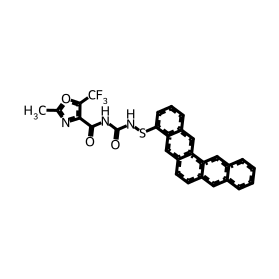 Cc1nc(C(=O)NC(=O)NSc2cccc3cc4c(ccc5cc6ccccc6cc54)cc23)c(C(F)(F)F)o1